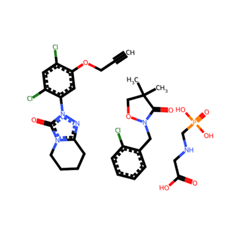 C#CCOc1cc(-n2nc3n(c2=O)CCCC3)c(Cl)cc1Cl.CC1(C)CON(Cc2ccccc2Cl)C1=O.O=C(O)CNCP(=O)(O)O